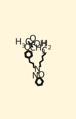 C=CCCCCN(CCCc1ccc(OC(C)(C)C(=O)O)cc1)c1nc2ccccc2o1